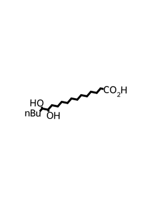 CCCCC(O)C(O)CCCCCCCCCCCC(=O)O